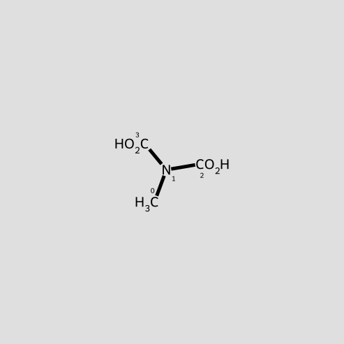 CN(C(=O)O)C(=O)O